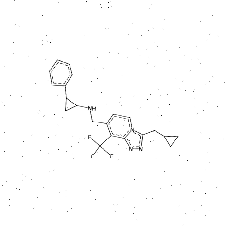 FC(F)(F)c1c(CNC2CC2c2ccccc2)ccn2c(CC3CC3)nnc12